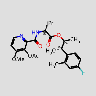 COc1ccnc(C(=O)N[C@H](C(=O)O[C@@H](C)[C@@H](C)c2ccc(F)cc2C)C(C)C)c1OC(C)=O